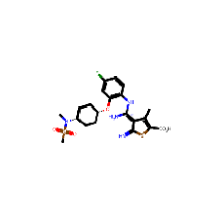 CC1=C(C(=O)O)SC(=N)/C1=C(\N)Nc1ccc(F)cc1O[C@H]1CC[C@@H](N(C)S(C)(=O)=O)CC1